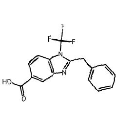 O=C(O)c1ccc2c(c1)nc(Cc1ccccc1)n2C(F)(F)F